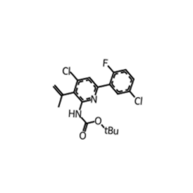 C=C(C)c1c(Cl)cc(-c2cc(Cl)ccc2F)nc1NC(=O)OC(C)(C)C